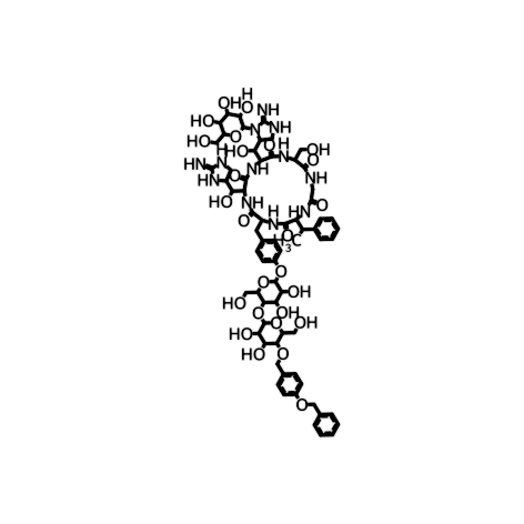 CC(c1ccccc1)C1NC(=O)CNC(=O)C(CO)NC(=O)C(C(O)C2CNC(=N)N2C2OC(CO)C(O)C(O)C2O)NC(=O)C(C(O)C2CNC(=N)N2)NC(=O)C(Cc2ccc(OC3OC(CO)C(OC4OC(CO)C(OCc5ccc(OCc6ccccc6)cc5)C(O)C4O)C(O)C3O)cc2)NC1=O